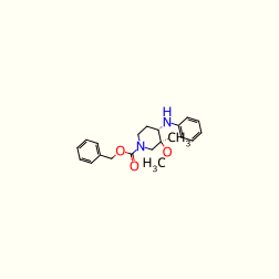 CO[C@@]1(C)CN(C(=O)OCc2ccccc2)CC[C@@H]1Nc1ccccc1